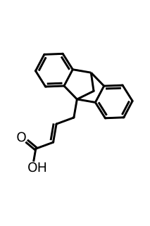 O=C(O)C=CCC12CC(c3ccccc31)c1ccccc12